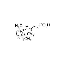 CC1(C)[C@H]2CC[C@](C)(C2)[C@H]1OC(=O)CCC(=O)O